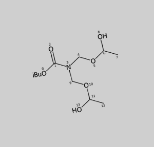 CC(C)COC(=O)N(COC(C)O)COC(C)O